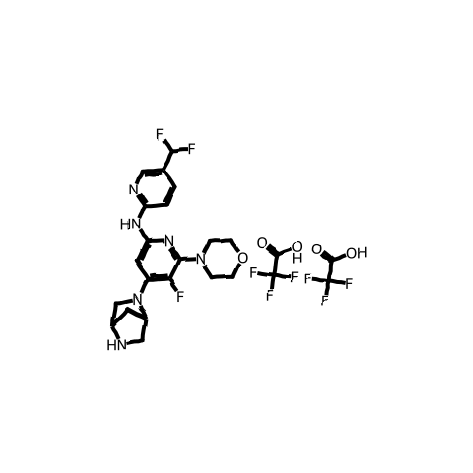 Fc1c(N2CC3CC2CN3)cc(Nc2ccc(C(F)F)cn2)nc1N1CCOCC1.O=C(O)C(F)(F)F.O=C(O)C(F)(F)F